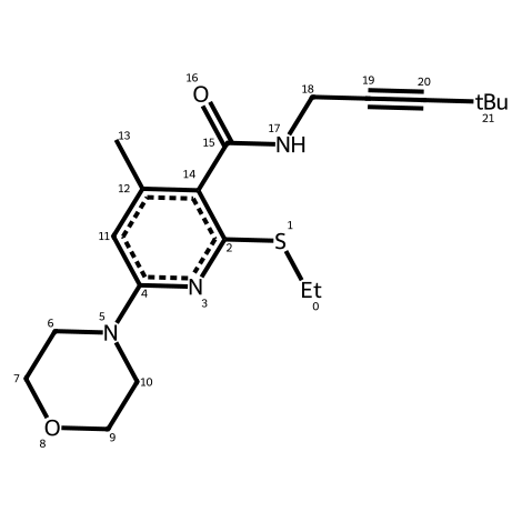 CCSc1nc(N2CCOCC2)cc(C)c1C(=O)NCC#CC(C)(C)C